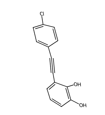 Oc1cccc(C#Cc2ccc(Cl)cc2)c1O